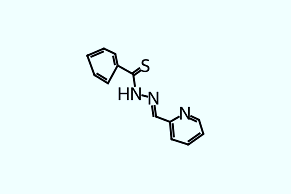 S=C(NN=Cc1ccccn1)c1ccccc1